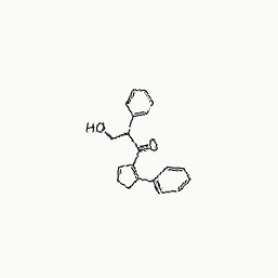 O=C(C1=C(c2ccccc2)CC=C1)C(CO)c1ccccc1